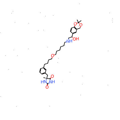 CC1(C)OCc2cc([C@@H](O)CNCCCCCCOCCCCc3cccc(C[C@@]4(C)NC(=O)NC4=O)c3)ccc2O1